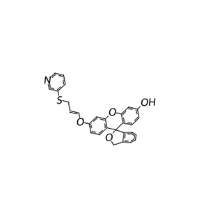 Oc1ccc2c(c1)Oc1cc(O/C=C/CSc3cccnc3)ccc1C21OCc2ccccc21